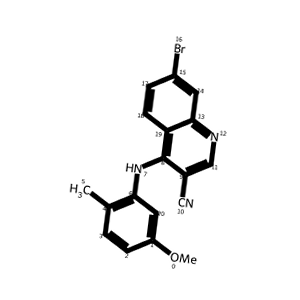 COc1ccc(C)c(Nc2c(C#N)cnc3cc(Br)ccc23)c1